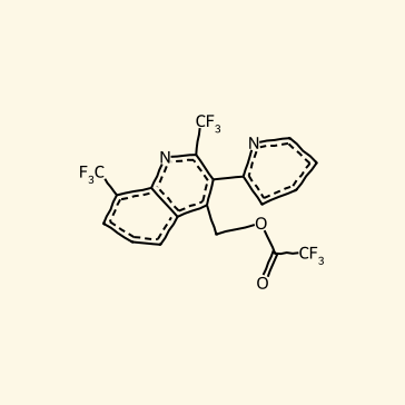 O=C(OCc1c(-c2ccccn2)c(C(F)(F)F)nc2c(C(F)(F)F)cccc12)C(F)(F)F